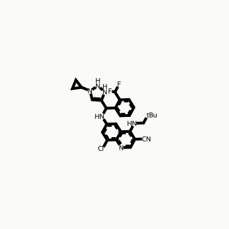 CC(C)(C)CNc1c(C#N)cnc2c(Cl)cc(NC(C3=CN(C4CC4)NN3)c3ccccc3C(F)F)cc12